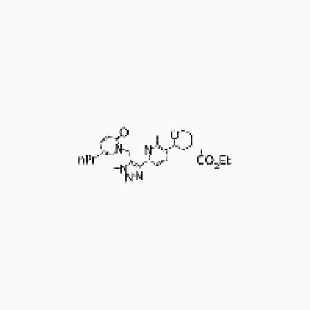 CCCc1ccc(=O)n(Cc2c(-c3ccc(C4C[C@@H](CC(=O)OCC)CCO4)c(C)n3)nnn2C)c1